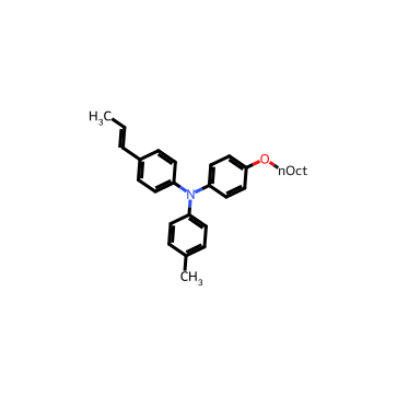 C/C=C/c1ccc(N(c2ccc(C)cc2)c2ccc(OCCCCCCCC)cc2)cc1